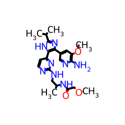 COCC(=O)NC(C)CNc1nccc(-c2[nH]c(C(C)C)nc2-c2cnc(N)c(OC)c2)n1